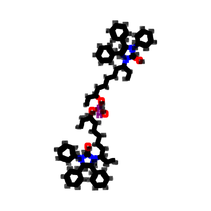 CCC(CCCCCC(CC)n1c(-c2ccccc2)c(-c2ccccc2)n(-c2ccccc2)c1=O)O[PH](=O)OC(CC)CCCCCC(CC)n1c(-c2ccccc2)c(-c2ccccc2)n(-c2ccccc2)c1=O